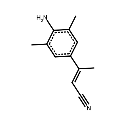 C/C(=C\C#N)c1cc(C)c(N)c(C)c1